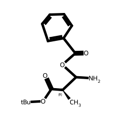 C[C@@H](C(=O)OC(C)(C)C)C(N)OC(=O)c1ccccc1